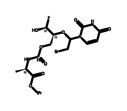 CC(C)OC(=O)[C@H](C)N[PH](=O)OC[C@@H](OC(CBr)n1ccc(=O)[nH]c1=O)[C@@H](O)F